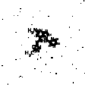 Cc1nnc(CNc2nc(N)nc3ccn(Cc4ccccn4)c23)o1